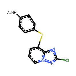 CC(=O)Nc1ccc(Sc2cccn3nc(Cl)nc23)cc1